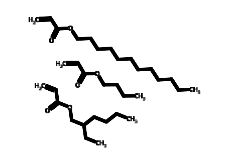 C=CC(=O)OCC(CC)CCCC.C=CC(=O)OCCCC.C=CC(=O)OCCCCCCCCCCCC